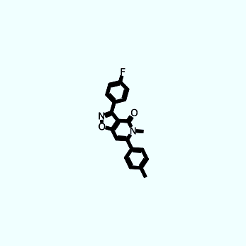 Cc1ccc(-c2cc3onc(-c4ccc(F)cc4)c3c(=O)n2C)cc1